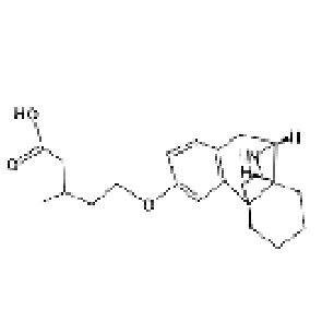 CC(CCOc1ccc2c(c1)[C@@]13CCCC[C@H]1[C@@H](C2)NCC3)CC(=O)O